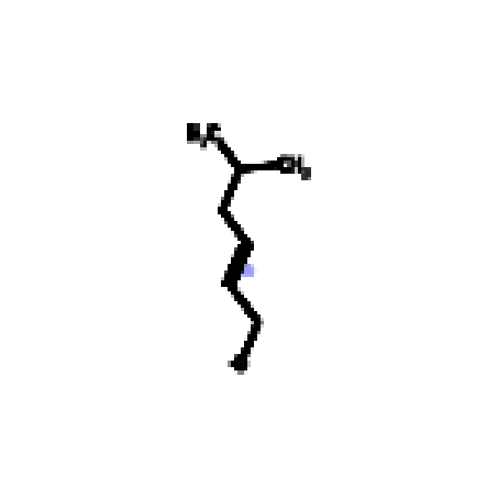 CC(C)C/C=C/C[O]